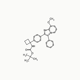 COc1cccn2c(-c3ccccc3)c(-c3ccc(C4(NC(=O)OC(C)(C)C)CCC4)cc3)nc12